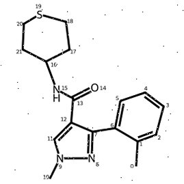 Cc1ccccc1-c1nn(C)cc1C(=O)NC1CCSCC1